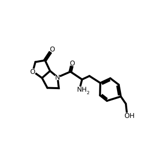 NC(Cc1ccc(CO)cc1)C(=O)N1CCC2OCC(=O)C21